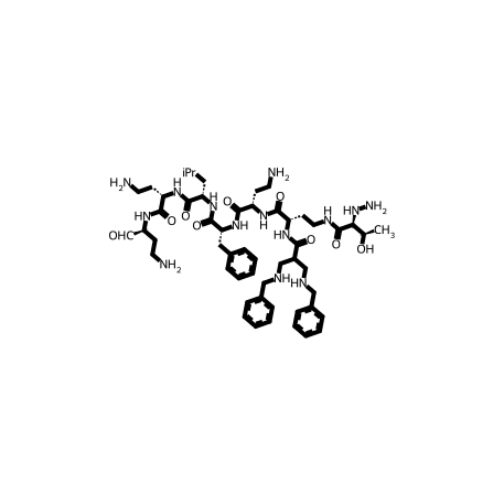 CC(C)C[C@H](NC(=O)[C@@H](Cc1ccccc1)NC(=O)[C@H](CCN)NC(=O)[C@H](CCNC(=O)[C@@H](NN)[C@@H](C)O)NC(=O)C(CNCc1ccccc1)CNCc1ccccc1)C(=O)N[C@@H](CCN)C(=O)N[C@H](C=O)CCN